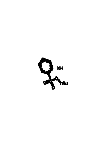 CCCCOS(=O)(=O)c1ccccc1.[KH]